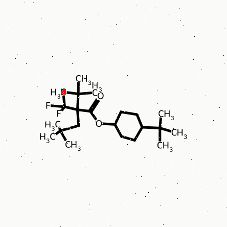 CC(C)(C)CC(C(=O)OC1CCC(C(C)(C)C)CC1)(C(C)(C)C)C(F)(F)F